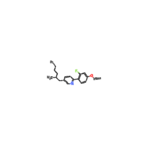 CCCCCCCCCOc1ccc(-c2ccc(CC(C)CCCC(C)C)cn2)c(F)c1